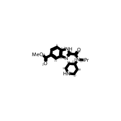 COC(=O)c1ccc2[nH]c(C(=O)N(C(C)C)C3CCNCC3)nc2c1